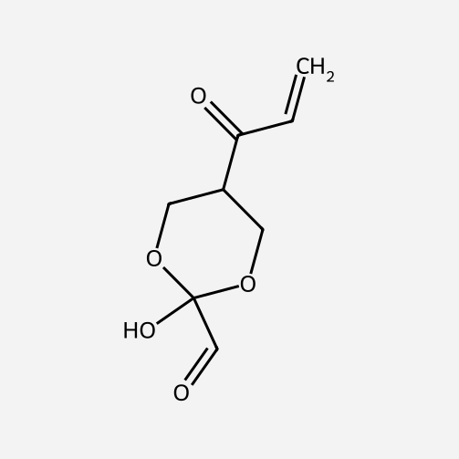 C=CC(=O)C1COC(O)(C=O)OC1